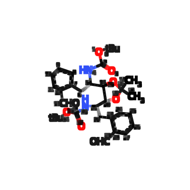 CC(C)(C)OC(=O)N[C@@H](Cc1ccccc1C=O)[C@H]1OC(C)(C)O[C@@H]1[C@H](Cc1ccccc1C=O)NC(=O)OC(C)(C)C